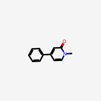 Cn1ccc(-c2ccccc2)cc1=O